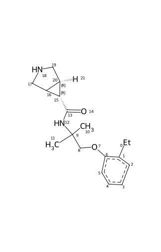 CCc1ccccc1OCC(C)(C)NC(=O)[C@@H]1C2CNC[C@H]21